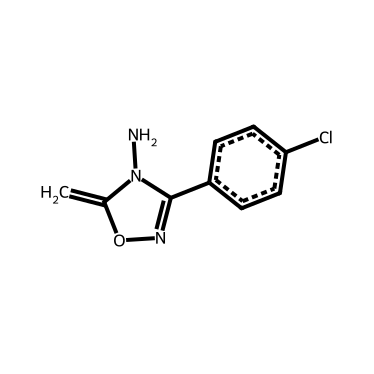 C=C1ON=C(c2ccc(Cl)cc2)N1N